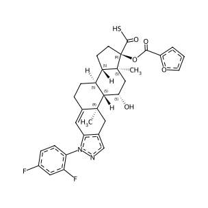 C[C@]12Cc3cnn(-c4ccc(F)cc4F)c3C=C1CC[C@@H]1[C@@H]2[C@@H](O)C[C@@]2(C)[C@H]1CC[C@]2(OC(=O)c1ccco1)C(=O)S